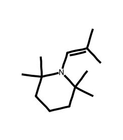 CC(C)=CN1C(C)(C)CCCC1(C)C